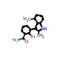 CCc1c(C(N)=O)cccc1-c1c(C)[nH]c2cccc(C)c12